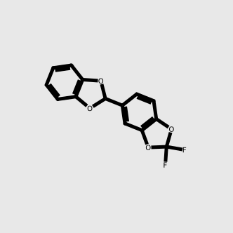 FC1(F)Oc2ccc(C3Oc4[c]cccc4O3)cc2O1